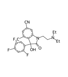 CCN(CC)CCN1C(=O)C(O)(c2ccc(F)cc2F)c2c1cc(C#N)cc2C(F)(F)F